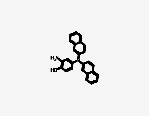 Nc1cc(N(c2ccc3ccccc3c2)c2ccc3ccccc3c2)ccc1O